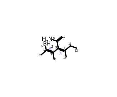 B/C(C)=C(C)\C(C(=C)N)=C(/C)CC